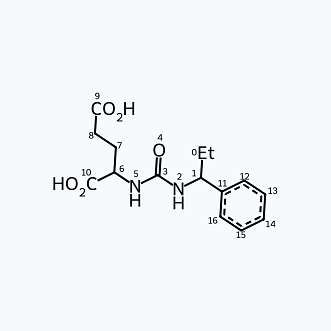 CCC(NC(=O)NC(CCC(=O)O)C(=O)O)c1ccccc1